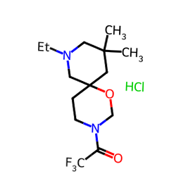 CCN1CC(C)(C)CC2(CCN(C(=O)C(F)(F)F)CO2)C1.Cl